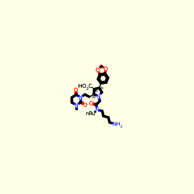 CCCCN(CCCCN)C(=O)CN1C[C@H](c2ccc3c(c2)OCO3)[C@@H](C(=O)O)[C@@H]1CCN1C(=O)CCN(C)C1=O